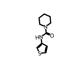 O=C(Nc1ccsc1)N1CCCCC1